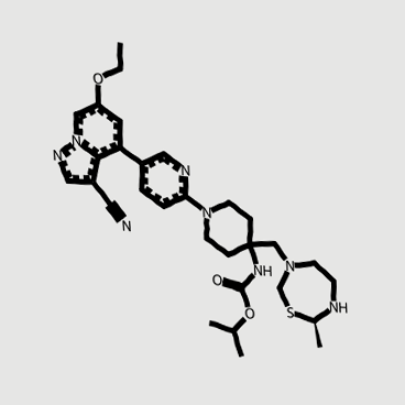 CCOc1cc(-c2ccc(N3CCC(CN4CCN[C@@H](C)SC4)(NC(=O)OC(C)C)CC3)nc2)c2c(C#N)cnn2c1